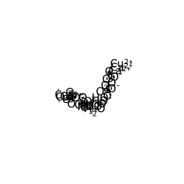 O.O.O.O=S(=O)([O-])[O-].O=S(=O)([O-])[O-].O=S(=O)([O-])[O-].O=S(=O)([O-])[O-].[Ca+2].[Ca+2].[Ca+2].[Cu+2].[Cu+2].[Cu+2].[OH-].[OH-].[OH-].[OH-]